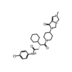 CN1C=C2C(=O)N(C3CCN(C(=O)[C@H](CC(=O)Nc4ccc(Cl)cc4)C4CCCCC4)CC3)CN2C1